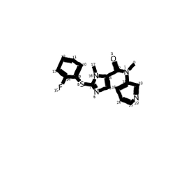 CN(C(=O)c1cnc(Sc2ccccc2F)n1C)c1cccnc1